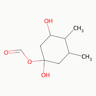 CC1CC(O)(OC=O)CC(O)C1C